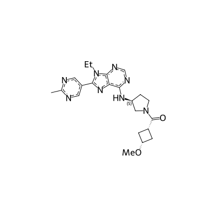 CCn1c(-c2cnc(C)nc2)nc2c(N[C@H]3CCN(C(=O)[C@H]4C[C@@H](OC)C4)C3)ncnc21